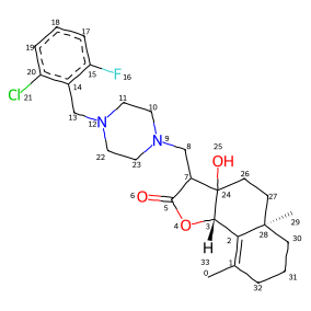 CC1=C2[C@@H]3OC(=O)C(CN4CCN(Cc5c(F)cccc5Cl)CC4)C3(O)CC[C@@]2(C)CCC1